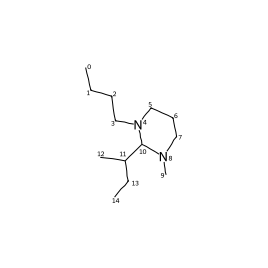 CCCCN1CCCN(C)C1C(C)CC